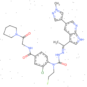 C/C(=N\NC(=O)N(CCF)c1ccc(C(=O)NCC(=O)N2CCCCC2)cc1Cl)c1c[nH]c2ncc(-c3cnn(C)c3)cc12